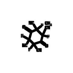 C.N#CC1(F)C(=O)C(F)(C#N)C(F)(C#N)C(=O)C1(F)C#N